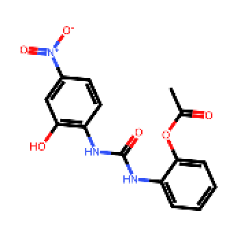 CC(=O)Oc1ccccc1NC(=O)Nc1ccc([N+](=O)[O-])cc1O